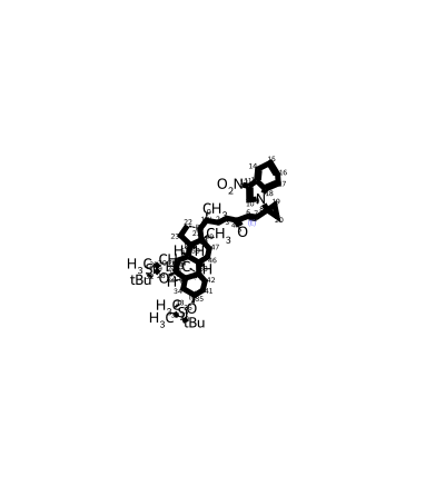 C[C@H](CCC(=O)/C=C/C1(n2cc([N+](=O)[O-])c3ccccc32)CC1)[C@H]1CC[C@H]2[C@@H]3C[C@H](O[Si](C)(C)C(C)(C)C)[C@@H]4C[C@H](O[Si](C)(C)C(C)(C)C)CC[C@]4(C)[C@H]3CC[C@]12C